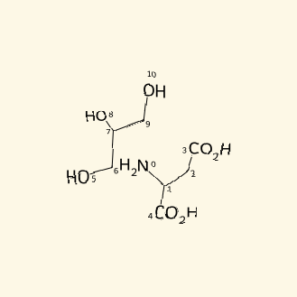 NC(CC(=O)O)C(=O)O.OCC(O)CO